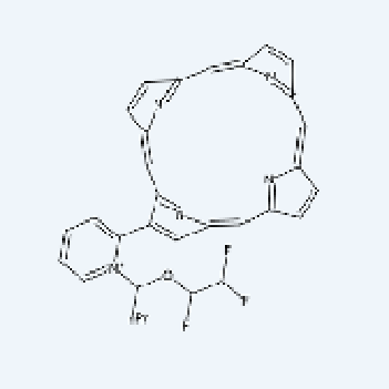 CCCC(OC(F)C(F)F)[n+]1ccccc1C1=CC2=CC3=NC(=CC4=NC(=CC5=NC(=CC1=N2)C=C5)C=C4)C=C3